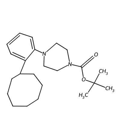 CC(C)(C)OC(=O)N1CCN(c2ccccc2C2CCCCCCC2)CC1